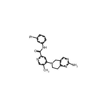 Cc1cnc(C(=O)Nc2cccc(C(C)C)c2)cc1N1CCc2nc(N)ncc2C1